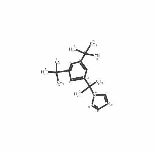 CC(C)(C#N)c1cc(C(C)(C)C#N)cc(C(C)(C)n2cncn2)c1